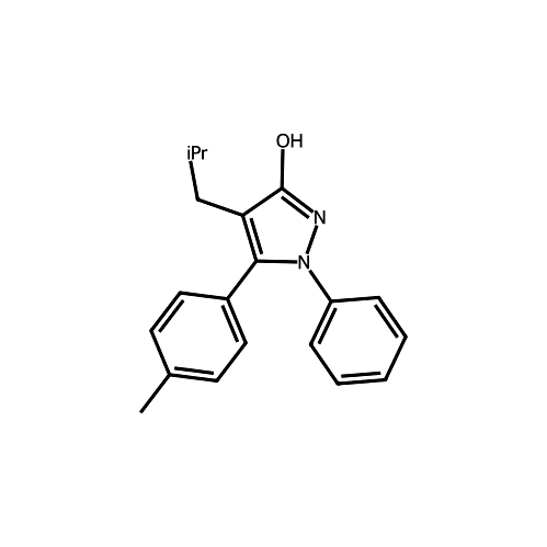 Cc1ccc(-c2c(CC(C)C)c(O)nn2-c2ccccc2)cc1